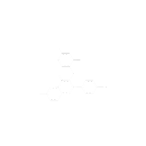 O=c1c2cc(F)ccc2cc(-c2ccc(O)cc2)n1Cc1ccc(F)cc1F